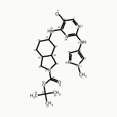 Cn1cc(Nc2ncc(Cl)c(NC3CCC4CN(C(=O)OC(C)(C)C)CC4C3)n2)cn1